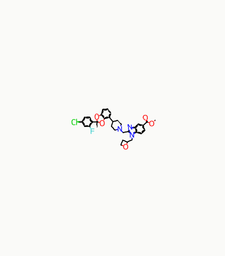 COC(=O)c1ccc2c(c1)nc(CN1CCC(c3cccc4c3OC(C)(c3ccc(Cl)cc3F)O4)CC1)n2CC1CCO1